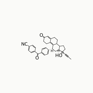 CC#C[C@]1(O)CCC2C3CCC4=CC(=O)CCC4=C3[C@@H](c3ccc(C(=O)c4ccc(C#N)cc4)cc3)C[C@@]21C